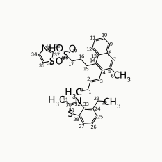 CCC=Cc1c(C)cc2ccccc2c1CCCS(=O)(=O)O.CCc1cccc2sc(C)nc12.c1cscn1